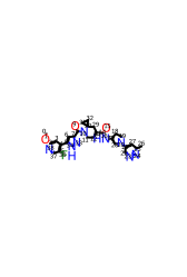 COc1cc(-c2cc(C(=O)N3CC[C@H](C(=O)N[C@@H]4CCN(c5cnnc(C)c5)C4)CC34CC4)n[nH]2)c(F)cn1